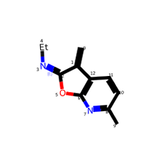 C=C1/C(=N\CC)Oc2nc(C)ccc21